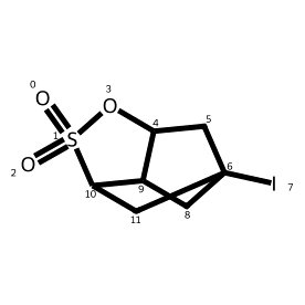 O=S1(=O)OC2CC3(I)CC2C1C3